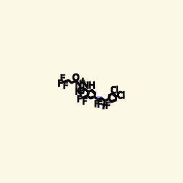 C[C@H](NC(=O)CCC(F)(F)F)NC(=O)c1ccc(/C(F)=C/C(c2ccc(Cl)c(Cl)c2)C(C)(F)F)cc1C(F)(F)F